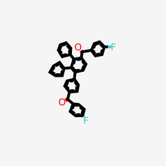 O=C(c1ccc(F)cc1)c1ccc(-c2ccc(C(=O)c3ccc(F)cc3)c(-c3ccccc3)c2-c2ccccc2)cc1